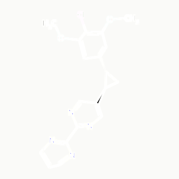 COc1cc([C@@H]2C[C@H]2c2cnc(-c3ncccn3)nc2)cc(OC)c1Cl